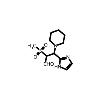 CS(=O)(=O)C(C=O)C(c1ncc[nH]1)N1CCCCC1